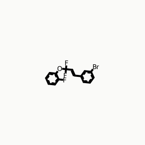 Fc1ccccc1OC(F)(F)C=Cc1cccc(Br)c1